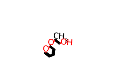 CC(CO)O[C@@H]1C=CC=CO1